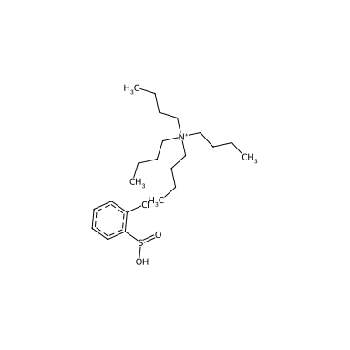 CCCC[N+](CCCC)(CCCC)CCCC.O=S(O)c1ccccc1Cl